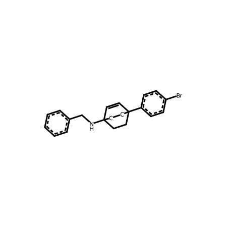 Brc1ccc(C23C=CC(NCc4ccccc4)(CC2)CC3)cc1